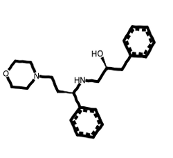 O[C@H](CN[C@H](CCN1CCOCC1)c1ccccc1)Cc1ccccc1